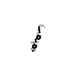 CCC#CCOc1cccc(CC(=O)Nc2ccc3ncsc3c2)c1